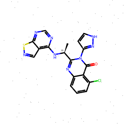 C[C@H](Nc1ncnc2sncc12)c1nc2cccc(Cl)c2c(=O)n1-c1cc[nH]n1